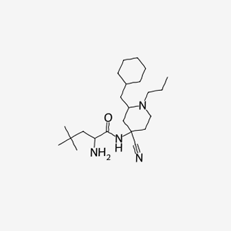 CCCN1CCC(C#N)(NC(=O)C(N)CC(C)(C)C)CC1CC1CCCCC1